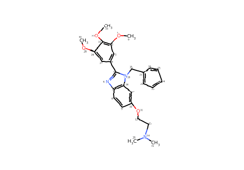 COc1cc(-c2nc3ccc(OCCN(C)C)cc3n2Cc2ccccc2)cc(OC)c1OC